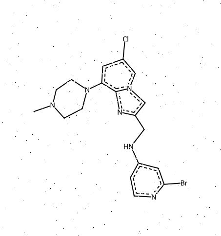 CN1CCN(c2cc(Cl)cn3cc(CNc4ccnc(Br)c4)nc23)CC1